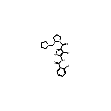 O=C(Nc1[nH]nc(C(=O)N2CCC[C@@H]2CN2CCCC2)c1Br)c1ccccc1Cl